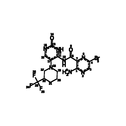 Nc1ncc(Br)nc1C(=O)Nc1[nH]c(=O)ncc1N1CCCC(C(F)(F)F)C1